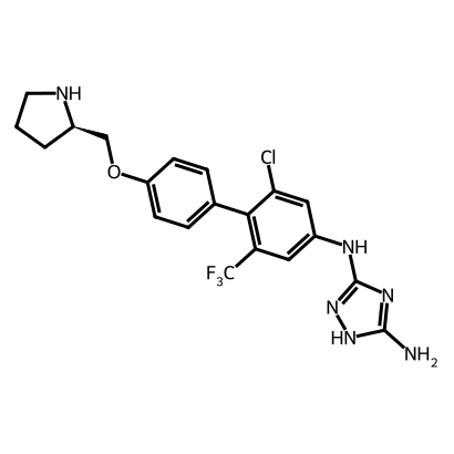 Nc1nc(Nc2cc(Cl)c(-c3ccc(OC[C@H]4CCCN4)cc3)c(C(F)(F)F)c2)n[nH]1